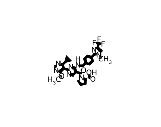 COc1ncnc(C2CC2)c1-c1ncc(C(=O)N2CCC[C@H]2C(=O)O)c(NCc2ccc(-c3nc(C(F)(F)F)cn3C)cc2)n1